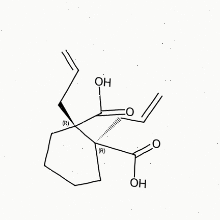 C=CC[C@]1(C(=O)O)CCCC[C@]1(CC=C)C(=O)O